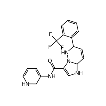 O=C(NC1=CC=CNC1)C1=CNC2C=CC(c3ccccc3C(F)(F)F)NN12